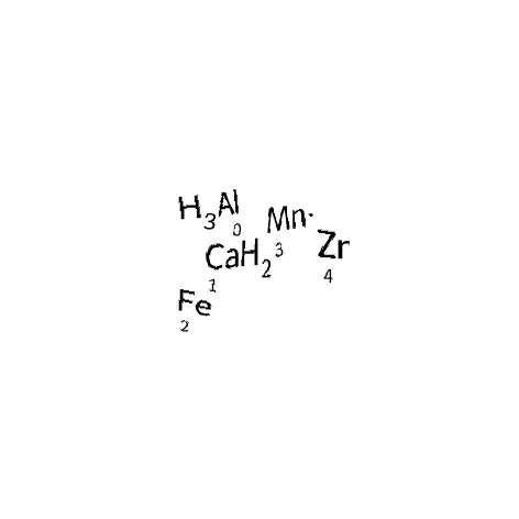 [AlH3].[CaH2].[Fe].[Mn].[Zr]